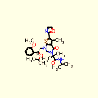 COc1ccccc1[C@H](CN1CN(C(C)(C)C(=O)NC(C)C)C(=O)c2c1sc(-c1ncco1)c2C)OC(C)C